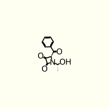 C[C@@H](O)N1C(=O)C(=O)[C@H]1C(=O)c1ccccc1